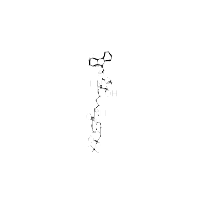 CC(C)(C)OC(=O)CN1CCN(C(=O)NCCCCC[C@H](NC(=O)OCC2c3ccccc3-c3ccccc32)C(=O)O)CC1